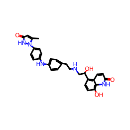 Cc1cc(=O)[nH]n1-c1ccc(Nc2ccc(CCNCC(O)c3ccc(O)c4[nH]c(=O)ccc34)cc2)cc1